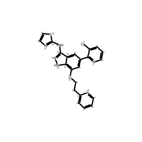 Clc1cccnc1-c1cc(OCCc2ccccn2)c2[nH]nc(Nc3nccs3)c2c1